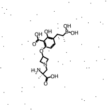 C[C@H](Cc1ccc(OC2CN(C[C@](C)(N)C(=O)O)C2)c(C(=O)O)c1O)B(O)O